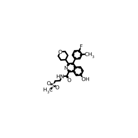 Cc1cc(-c2c(C3CCOCC3)nc(C(=O)NCCS(C)(=O)=O)c3cc(O)ccc23)ccc1F